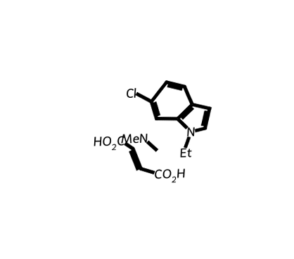 CCn1ccc2ccc(Cl)cc21.CNC.O=C(O)C=CC(=O)O